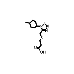 CC1CCC(n2nnnc2CSCCC(=O)O)CC1